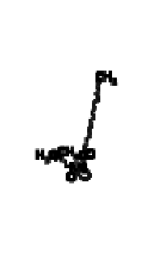 CCCCCCCCCCCCCCCCCC(=O)OCCN1CCCCC1C(=O)NCCCN(C)C